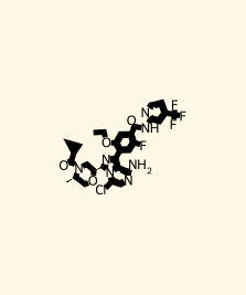 CCOc1cc(C(=O)Nc2cc(C(F)(F)F)ccn2)c(F)cc1-c1nc([C@H]2CN(C(=O)C3CC3)[C@@H](C)CO2)n2c(Cl)cnc(N)c12